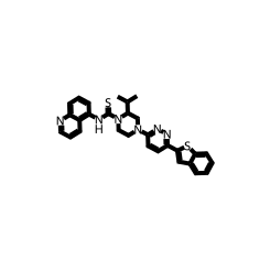 CC(C)C1CN(c2ccc(-c3cc4ccccc4s3)nn2)CCN1C(=S)Nc1cccc2ncccc12